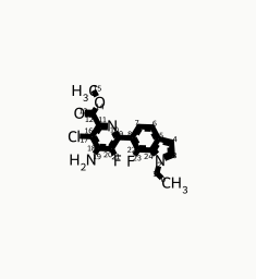 CCn1ccc2ccc(-c3nc(C(=O)OC)c(Cl)c(N)c3F)c(F)c21